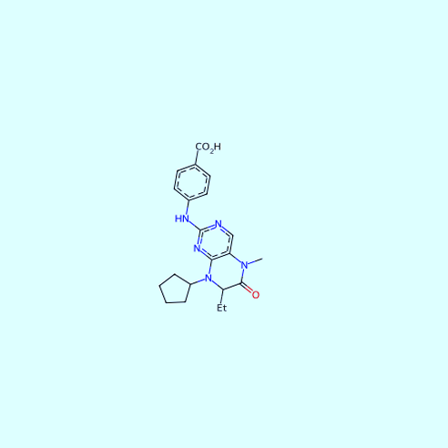 CCC1C(=O)N(C)c2cnc(Nc3ccc(C(=O)O)cc3)nc2N1C1CCCC1